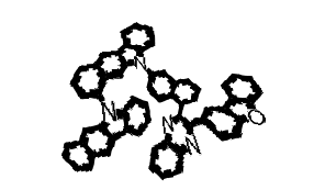 c1ccc2cc3c(cc2c1)c1ccccc1n3-c1cccc2cc3c4ccccc4n(-c4ccc5c(-c6nc7ccccc7nc6-c6ccc7oc8ccccc8c7c6)cccc5c4)c3cc12